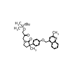 Cc1cc(COc2ccc(C3(C)CCN(CC(=O)CO[Si](C)(C)C(C)(C)C)C3=O)cc2)c2ccccc2n1